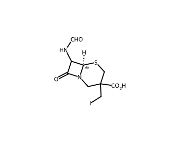 O=CNC1C(=O)N2CC(CI)(C(=O)O)CS[C@H]12